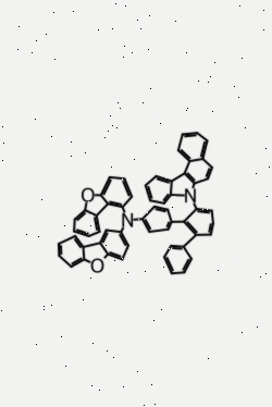 c1ccc(-c2cccc(-n3c4ccccc4c4c5ccccc5ccc43)c2-c2ccc(N(c3ccc4oc5ccccc5c4c3)c3cccc4oc5ccccc5c34)cc2)cc1